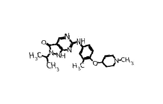 Cc1cc(Nc2ncc3c(=O)n(C(C)C)[nH]c3n2)ccc1OC1CCN(C)CC1